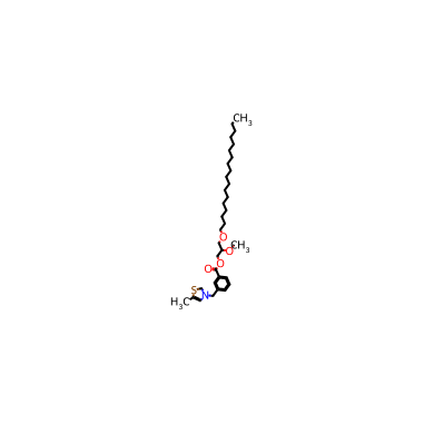 CCCCCCCCCCCCCCCCCCOCC(COC(=O)c1cccc(CN2C=C(C)SC2)c1)OC